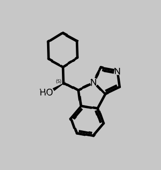 O[C@@H](C1CCCCC1)C1c2ccccc2-c2cncn21